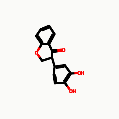 O=C1c2ccccc2OCC1c1ccc(O)c(O)c1